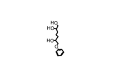 OCC(O)CCCC(O)COc1ccccc1